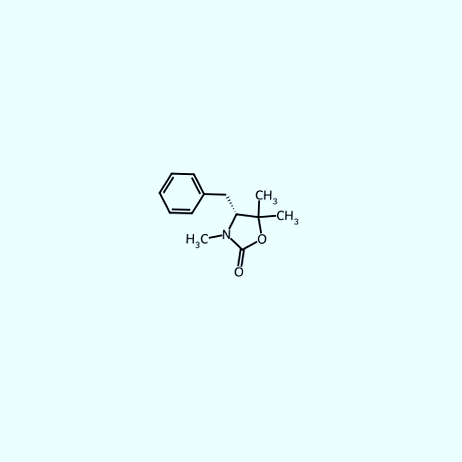 CN1C(=O)OC(C)(C)[C@H]1Cc1ccccc1